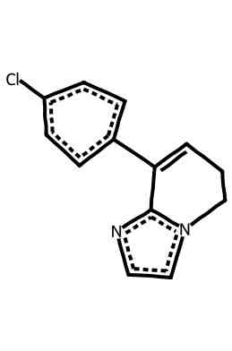 Clc1ccc(C2=CCCn3ccnc32)cc1